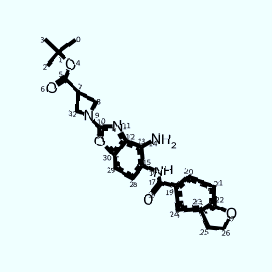 CC(C)(C)OC(=O)C1CN(c2nc3c(N)c(NC(=O)c4ccc5c(c4)CCO5)ccc3o2)C1